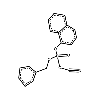 N#COP(=O)(OCc1ccccc1)Oc1cccc2ccccc12